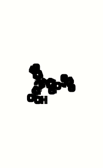 COc1cc(CN(C[C@@H]2CC[C@H](C(=O)O)C2)[C@@H](C)c2ccc3c(c2)CCO3)ccc1OCCN1C(=O)CCC1=O